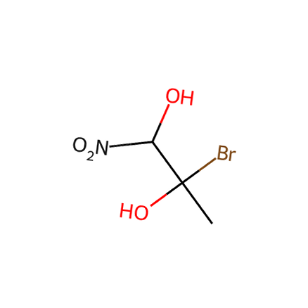 CC(O)(Br)C(O)[N+](=O)[O-]